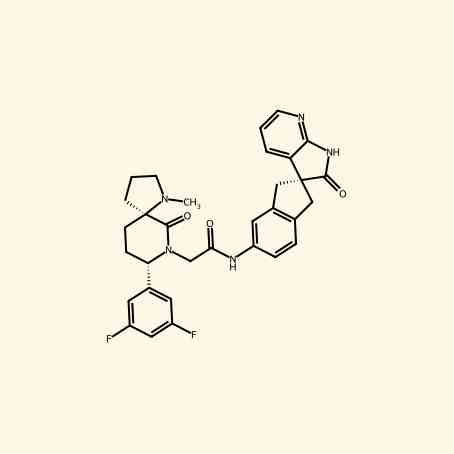 CN1CCC[C@]12CC[C@@H](c1cc(F)cc(F)c1)N(CC(=O)Nc1ccc3c(c1)C[C@@]1(C3)C(=O)Nc3ncccc31)C2=O